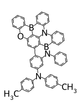 Cc1ccc(N(c2ccc(C)cc2)c2ccc3c(c2)N(c2ccccc2)B2c4ccccc4N4c5ccccc5B5c6ccccc6Oc6cc-3c2c4c65)cc1